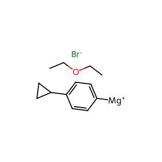 CCOCC.[Br-].[Mg+][c]1ccc(C2CC2)cc1